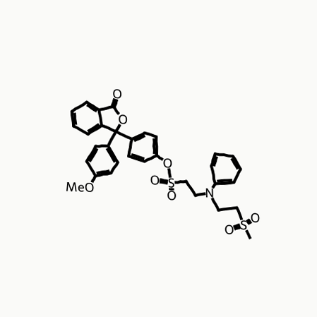 COc1ccc(C2(c3ccc(OS(=O)(=O)CCN(CCS(C)(=O)=O)c4ccccc4)cc3)OC(=O)c3ccccc32)cc1